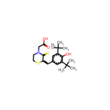 CC(C)(C)c1cc(/C=C2/SCCN(CC(=O)O)C2=S)cc(C(C)(C)C)c1O